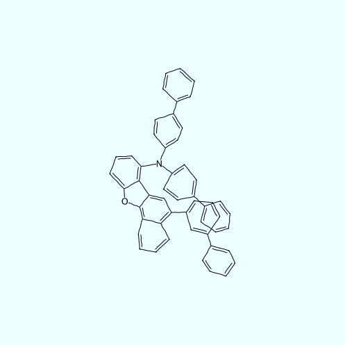 c1ccc(-c2ccc(N(c3ccc(-c4ccccc4)cc3)c3cccc4oc5c6ccccc6c(-c6cccc(-c7ccccc7)c6)cc5c34)cc2)cc1